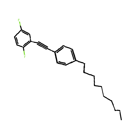 CCCCCCCCCCc1ccc(C#Cc2cc(F)ccc2F)cc1